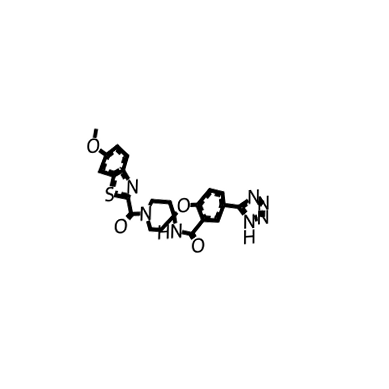 COc1ccc2nc(C(=O)N3CCC4(CC3)NC(=O)c3cc(-c5nnn[nH]5)ccc3O4)sc2c1